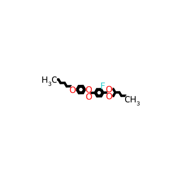 CCCCCCOc1ccc(OC(=O)c2ccc(C3OCC(CCCC)CO3)c(F)c2)cc1